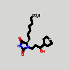 O=C(O)CCCCCC[C@H]1C(=O)NC(=O)N1CC[C@H](O)C1CCCCC1